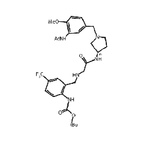 COc1ccc(CN2CC[C@@H](NC(=O)CNCc3cc(C(F)(F)F)ccc3NC(=O)OC(C)(C)C)C2)cc1NC(C)=O